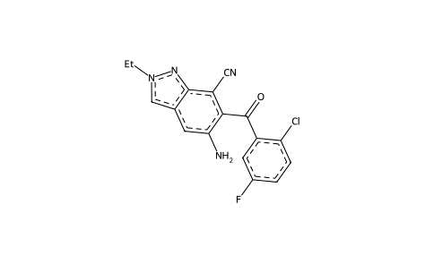 CCn1cc2cc(N)c(C(=O)c3cc(F)ccc3Cl)c(C#N)c2n1